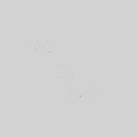 CCn1c(Oc2cccc(N3CCN(C)CC3)c2)nnc1[C@@H](C)NS(=O)(=O)c1ccc(Cl)c(S(N)(=O)=O)c1